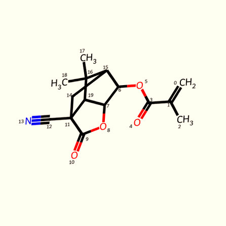 C=C(C)C(=O)OC1C2OC(=O)C3(C#N)CC1C(C)(C)C23